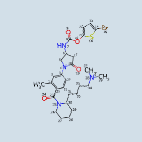 Cc1cc(N2CC(NC(=O)Oc3ccc(Br)s3)CC2=O)ccc1C(=O)N1CCCCC1CCCCN(C)C